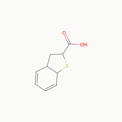 O=C(O)C1CC2C=CC=CC2S1